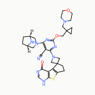 N#Cc1c(N2C[C@H]3CC[C@@H](C2)N3)nc(OCC2(CN3CCOCC3)CC2)nc1N1CC2(CCc3sc4[nH]cnc(=O)c4c32)C1